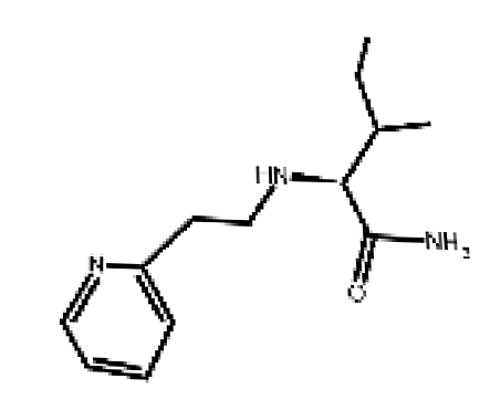 CCC(C)[C@H](NCCc1ccccn1)C(N)=O